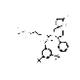 C[C@@H](OC[C@@]1(c2ccccc2)CC[C@]2(CCC(=O)N2)CN1C(=O)OCCCOP(=O)(O)O)c1cc(C(F)(F)F)cc(C(F)(F)F)c1